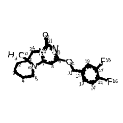 CC12CCCCN1c1cc(OCc3ccc(F)c(F)c3)nc(=O)n1C2